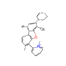 Cc1ccc2c(oc3c(C#N)c(C4CCCCC4)cc(C(C)C)c32)c1-c1cccc[n+]1C